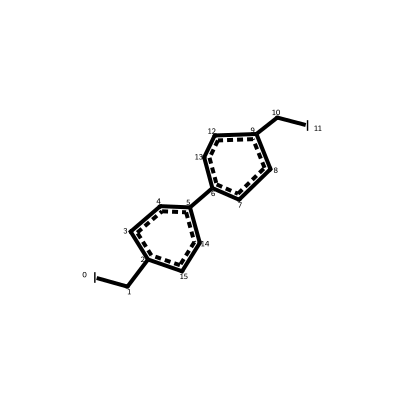 ICc1ccc(-c2ccc(CI)cc2)cc1